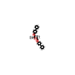 CCC(=COc1ccc(-c2ccccc2)cc1)OC(=COc1ccc(-c2ccccc2)cc1)CC